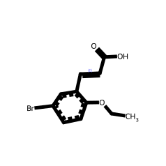 CCOc1ccc(Br)cc1/C=C/C(=O)O